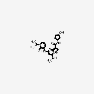 CNc1cc(Nc2cccn(C(C)C)c2=O)nc2c(C(=O)N[C@@H]3CC[C@H](O)C3)cnn12